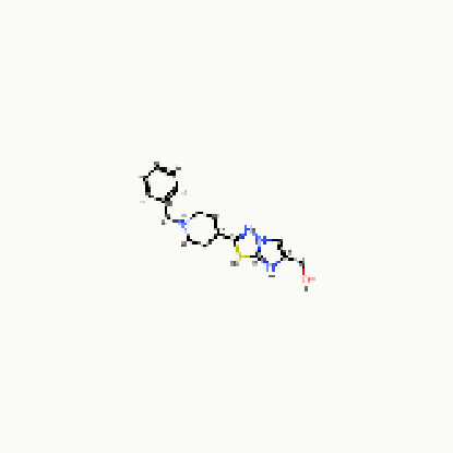 OCc1cn2nc(C3CCN(Cc4ccccc4)CC3)sc2n1